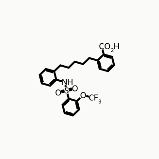 O=C(O)c1ccccc1CCCCCc1ccccc1NS(=O)(=O)c1ccccc1OC(F)(F)F